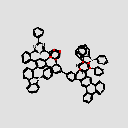 c1ccc(-c2nc(-c3ccccc3)nc(-c3cc(-c4ccc5c(c4)c4ccccc4c4cc(-c6ccccc6-c6nc(-c7ccccc7)nc(-c7ccccc7)n6)c(-c6cccc7c8ccccc8n(-c8ccccc8)c67)cc54)ccc3-c3cc4c5ccccc5c5ccccc5c4cc3-c3ccc4c5ccccc5n(-c5ccccc5)c4c3)n2)cc1